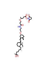 C=C1CC[C@H](OCCCNC(=O)CCOC(C)CCC(=O)ON2C(=O)CCC2=O)C/C1=C/C=C1\CCC[C@]2(C)[C@@H]([C@H](C)CCCC(C)(C)O)CC[C@@H]12